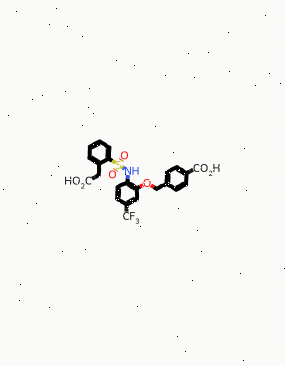 O=C(O)Cc1ccccc1S(=O)(=O)Nc1ccc(C(F)(F)F)cc1OCc1ccc(C(=O)O)cc1